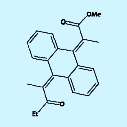 CCC(=O)C(C)=c1c2ccccc2c(=C(C)C(=O)OC)c2ccccc12